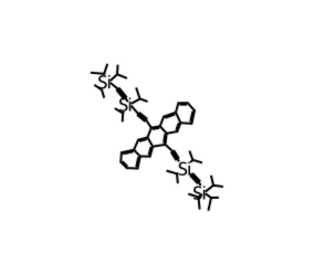 CC(C)[Si](C#Cc1c2cc3ccccc3cc2c(C#C[Si](C#C[Si](C(C)C)(C(C)C)C(C)C)(C(C)C)C(C)C)c2cc3ccccc3cc12)(C#C[Si](C(C)C)(C(C)C)C(C)C)C(C)C